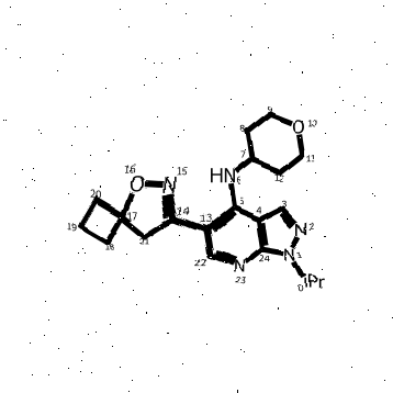 CC(C)n1ncc2c(NC3CCOCC3)c(C3=NOC4(CCC4)C3)cnc21